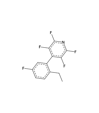 CCc1ccc(F)cc1-c1c(F)c(F)nc(F)c1F